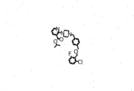 CC(C)OC(=O)c1cccnc1N1CCN(Cc2ccc(COCc3c(F)cccc3Cl)cc2)CC1